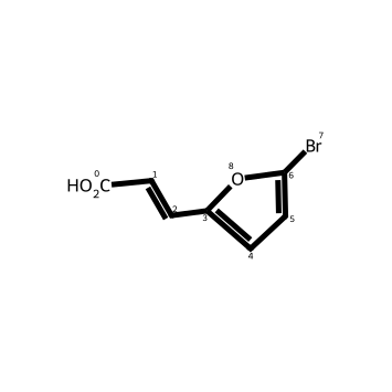 O=C(O)C=Cc1ccc(Br)o1